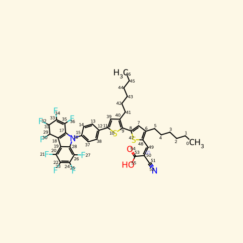 CCCCCCc1cc(-c2sc(-c3ccc(-n4c5c(c6c(F)c(F)c(F)c(F)c64)C(F)C(F)C(F)=C5F)cc3)cc2CCCCCC)sc1/C=C(/C#N)C(=O)O